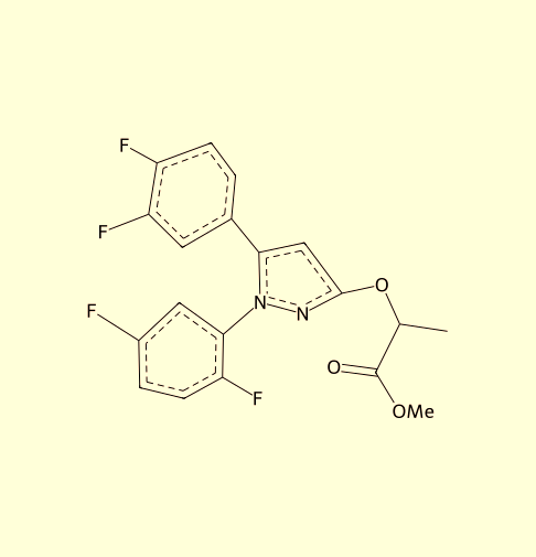 COC(=O)C(C)Oc1cc(-c2ccc(F)c(F)c2)n(-c2cc(F)ccc2F)n1